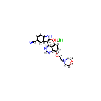 Cl.N#Cc1ccc2[nH]c(O)c(-c3ncnc4c(OCCN5CCOCC5)cccc34)c2c1